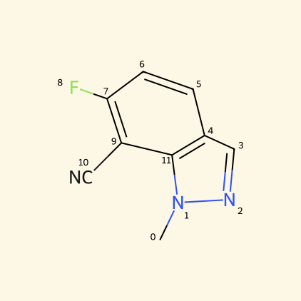 Cn1ncc2ccc(F)c(C#N)c21